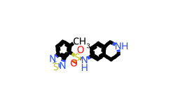 Cc1ccc2nsnc2c1S(=O)(=O)Nc1ccc2c(c1)CCNC2